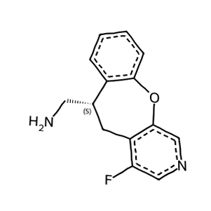 NC[C@H]1Cc2c(F)cncc2Oc2ccccc21